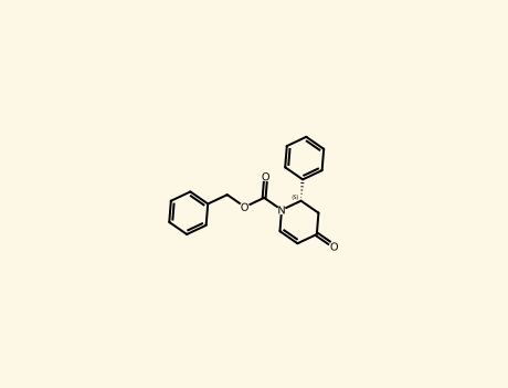 O=C1C=CN(C(=O)OCc2ccccc2)[C@H](c2ccccc2)C1